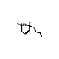 CCCCC1(C)C=CC=C(C)N1